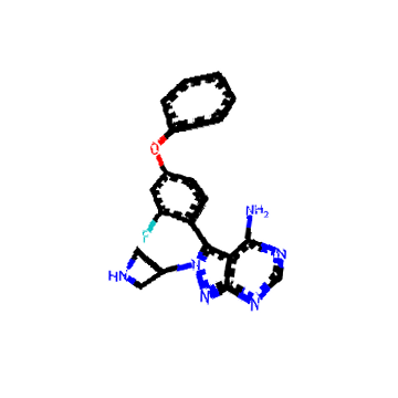 Nc1ncnc2nn(C3CNC3)c(-c3ccc(Oc4ccccc4)cc3F)c12